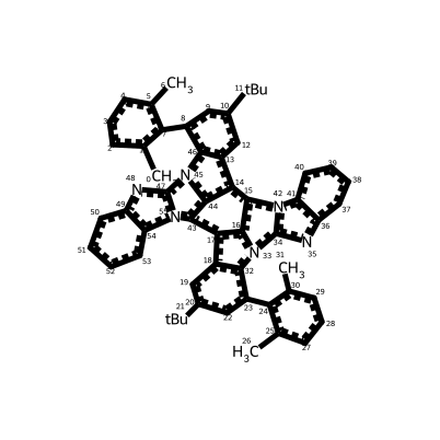 Cc1cccc(C)c1-c1cc(C(C)(C)C)cc2c3c4c5c(c6cc(C(C)(C)C)cc(-c7c(C)cccc7C)c6n5c5nc6ccccc6n45)c4c3n(c12)c1nc2ccccc2n41